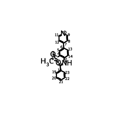 CS(=O)(=O)c1cc(-c2ccncc2)ccc1NCc1ccccc1